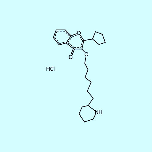 Cl.O=c1c(OCCCCCCC2CCCCN2)c(C2CCCC2)oc2ccccc12